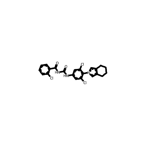 O=C(NC(=O)c1ccccc1Cl)Nc1cc(Cl)c(-n2cc3c(c2)CCCC3)c(Cl)c1